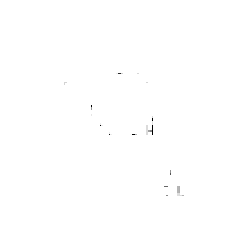 CSN1CCC2(CCO2)CC1